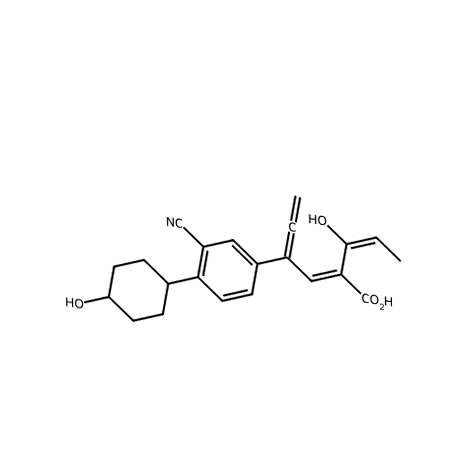 C=C=C(/C=C(C(=O)O)\C(O)=C/C)c1ccc(C2CCC(O)CC2)c(C#N)c1